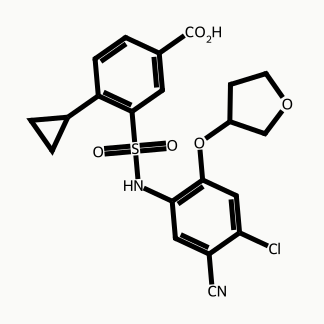 N#Cc1cc(NS(=O)(=O)c2cc(C(=O)O)ccc2C2CC2)c(OC2CCOC2)cc1Cl